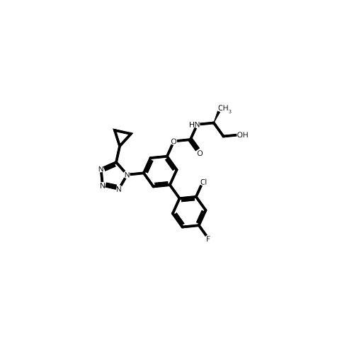 C[C@@H](CO)NC(=O)Oc1cc(-c2ccc(F)cc2Cl)cc(-n2nnnc2C2CC2)c1